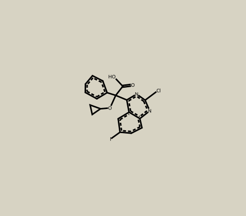 O=C(O)C(OC1CC1)(c1ccccc1)c1nc(Cl)nc2ccc(I)cc12